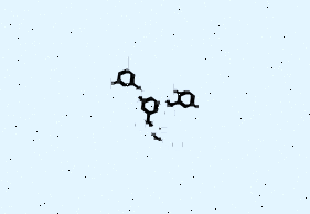 O=C(OCC(F)(F)S(=O)(=O)O)c1cc(OC(=O)c2cc(I)cc(I)c2I)cc(OC(=O)c2cc(I)cc(I)c2I)c1